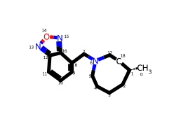 C[C@@H]1CCCCN(Cc2cccc3nonc23)CC1